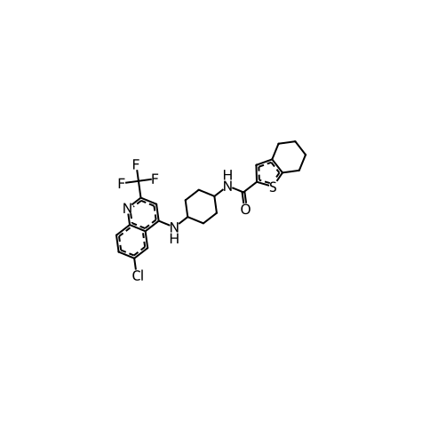 O=C(NC1CCC(Nc2cc(C(F)(F)F)nc3ccc(Cl)cc23)CC1)c1cc2c(s1)CCCC2